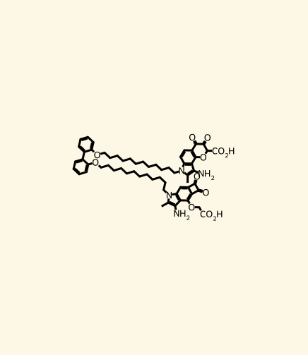 Cc1c(N)c2c3c(ccc2n1CCCCCCCCCCCCOc1ccccc1-c1ccccc1OCCCCCCCCCCCCn1c(C)c(N)c2c(OCC(=O)O)c4c(=O)c(=O)c4cc21)C(=O)C(=O)C(C(=O)O)O3